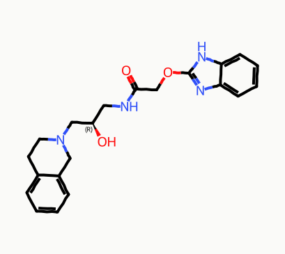 O=C(COc1nc2ccccc2[nH]1)NC[C@@H](O)CN1CCc2ccccc2C1